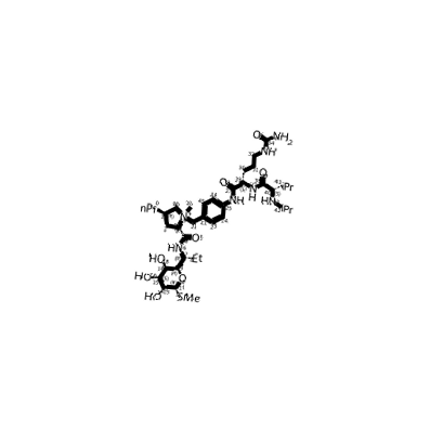 CCC[C@@H]1C[C@@H](C(=O)N[C@H](CC)[C@H]2O[C@H](SC)[C@H](O)[C@@H](O)[C@H]2O)[N+](C)(Cc2ccc(NC(=O)[C@H](CCCNC(N)=O)NC(=O)[C@@H](NC(C)C)C(C)C)cc2)C1